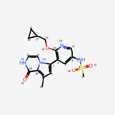 Cc1cc(-c2cc(NS(C)(=O)=O)cnc2OCC2CC2)n2cc[nH]c(=O)c12